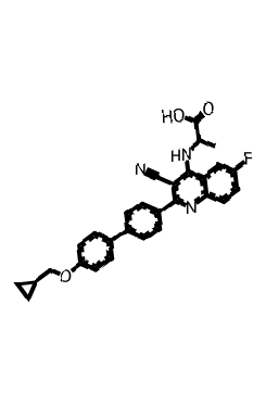 CC(Nc1c(C#N)c(-c2ccc(-c3ccc(OCC4CC4)cc3)cc2)nc2ccc(F)cc12)C(=O)O